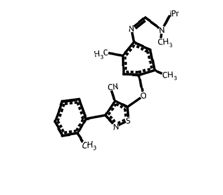 Cc1cc(Oc2snc(-c3ccccc3C)c2C#N)c(C)cc1/N=C\N(C)C(C)C